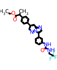 CCOC(=O)C(C)c1ccc(-c2cnn3c(-c4cccc(NC(=O)NCC(F)(F)F)c4)cnc3c2)cc1